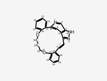 C1=C/c2n[nH]c3cnc(cc23)-c2ccccc2OCCCOc2ccccc2/1